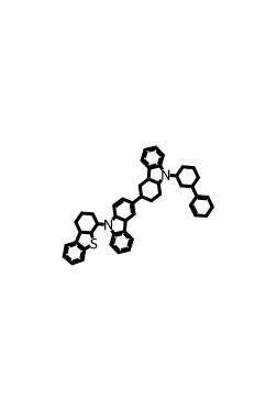 C1=CC(C2CCCC(N3c4ccccc4C4CC(C5=CC6c7ccccc7N(C7CCCC8c9ccccc9SC87)C6C=C5)CCC43)C2)=CCC1